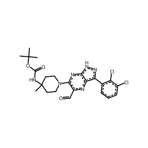 CC1(NC(=O)OC(C)(C)C)CCN(c2nc3[nH]nc(-c4cccc(Cl)c4Cl)c3nc2C=O)CC1